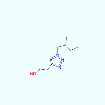 CCC(C)Cn1cc(CCO)nn1